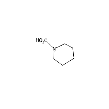 O=C(O)N1CCCCC1